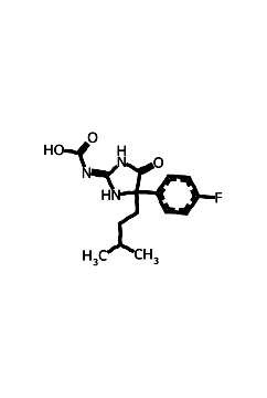 CC(C)CCC1(c2ccc(F)cc2)NC(=NC(=O)O)NC1=O